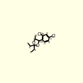 [CH2]C1OC(CC)(CC)OC1c1ccc(Cl)cc1Cl